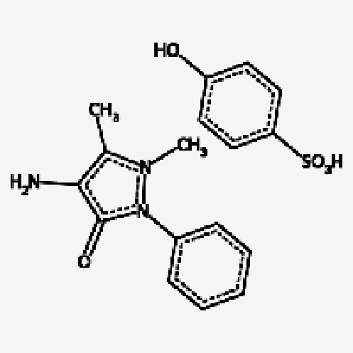 Cc1c(N)c(=O)n(-c2ccccc2)n1C.O=S(=O)(O)c1ccc(O)cc1